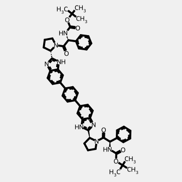 CC(C)(C)OC(=O)N[C@@H](C(=O)N1CCC[C@H]1c1nc2ccc(-c3ccc(-c4ccc5nc([C@@H]6CCCN6C(=O)[C@H](NC(=O)OC(C)(C)C)c6ccccc6)[nH]c5c4)cc3)cc2[nH]1)c1ccccc1